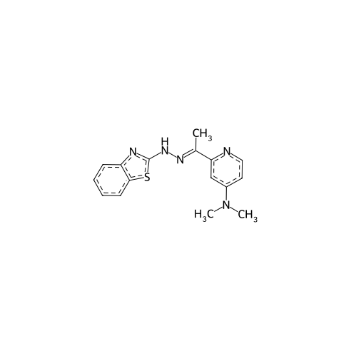 C/C(=N\Nc1nc2ccccc2s1)c1cc(N(C)C)ccn1